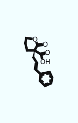 O=C(O)[C@]1(C/C=C/c2ccccc2)CCCOC1=O